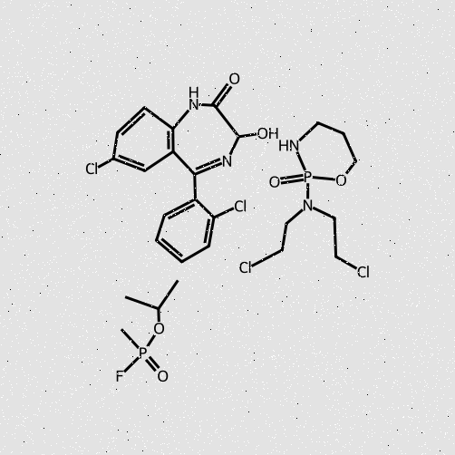 CC(C)OP(C)(=O)F.O=C1Nc2ccc(Cl)cc2C(c2ccccc2Cl)=NC1O.O=P1(N(CCCl)CCCl)NCCCO1